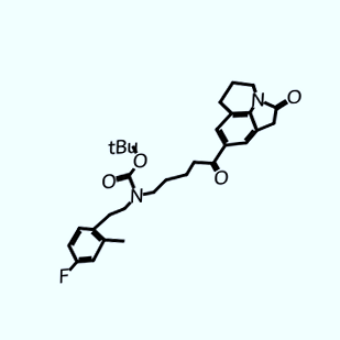 Cc1cc(F)ccc1CCN(CCCCC(=O)c1cc2c3c(c1)CC(=O)N3CCC2)C(=O)OC(C)(C)C